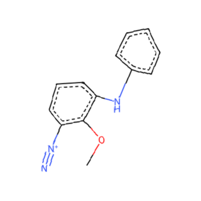 COc1c([N+]#N)cccc1Nc1ccccc1